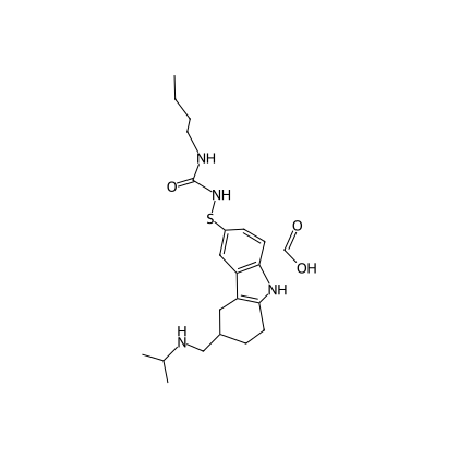 CCCCNC(=O)NSc1ccc2[nH]c3c(c2c1)CC(CNC(C)C)CC3.O=CO